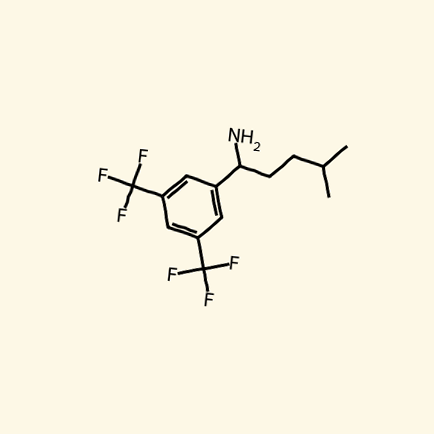 CC(C)CCC(N)c1cc(C(F)(F)F)cc(C(F)(F)F)c1